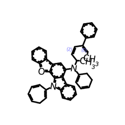 C/C=C(\C=C/C(C)N(C1=CC=CCC1)c1cc2c3ccccc3oc2c2c1c1ccccc1n2C1=CCC=CC=C1)c1ccccc1